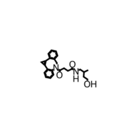 CC(CCO)CNC(=O)CCC(=O)N1Cc2ccccc2C2=C(C2)c2ccccc21